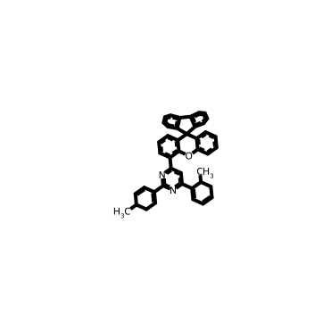 CC1C=CC(c2nc(C3=CC=CCC3C)cc(-c3cccc4c3Oc3ccccc3C43c4ccccc4-c4ccccc43)n2)=CC1